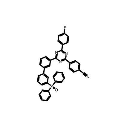 N#Cc1ccc(-c2nc(-c3ccc(F)cc3)nc(-c3cccc(-c4cccc(P(=O)(c5ccccc5)c5ccccc5)c4)c3)n2)cc1